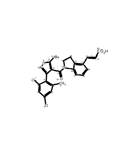 Cc1cc(Cl)cc(Cl)c1-c1noc(C(C)(C)C)c1C(=O)N1CCc2c(/C=C/C(=O)O)cccc21